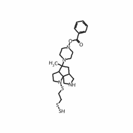 CC1(N2CCN(OC(=O)c3ccccc3)CC2)CC2CNCC23C1CCN3SCCSS